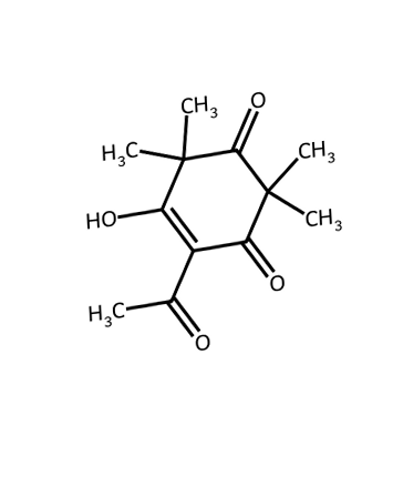 CC(=O)C1=C(O)C(C)(C)C(=O)C(C)(C)C1=O